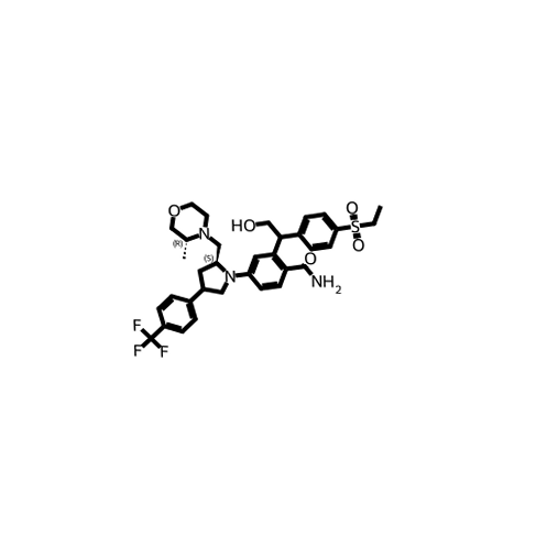 CCS(=O)(=O)c1ccc(C(CO)c2cc(N3CC(c4ccc(C(F)(F)F)cc4)C[C@H]3CN3CCOC[C@H]3C)ccc2C(N)=O)cc1